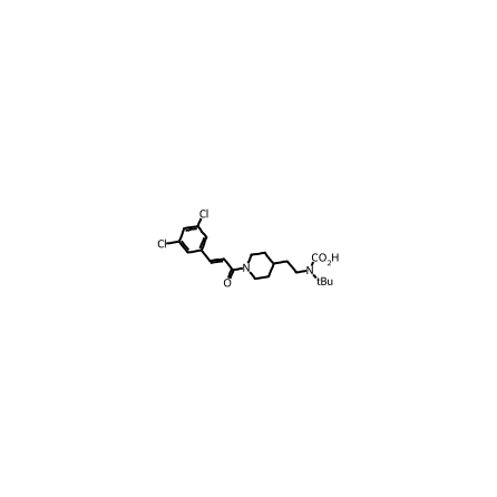 CC(C)(C)N(CCC1CCN(C(=O)/C=C/c2cc(Cl)cc(Cl)c2)CC1)C(=O)O